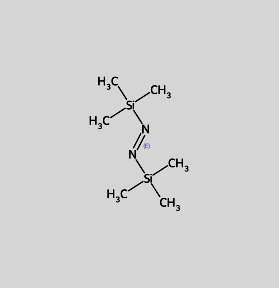 C[Si](C)(C)/N=N/[Si](C)(C)C